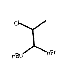 CCCCC(CCC)C(C)Cl